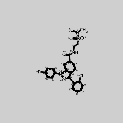 CN(C)S(=O)(=O)CCNC(=O)c1ccc2c(-c3ccccc3Cl)nn(-c3ccc(F)cc3)c2c1